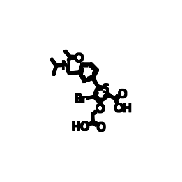 CC(=O)N(Cc1cccc(-c2sc(C(=O)O)c(OCC(=O)O)c2Br)c1)C(C)C